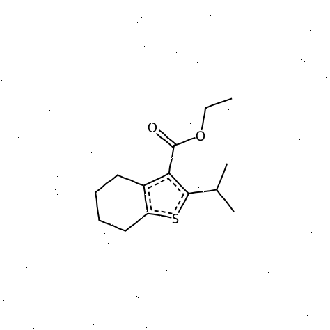 CCOC(=O)c1c(C(C)C)sc2c1CCCC2